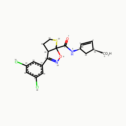 O=C(O)[C@@H]1C=C[C@H](NC(=O)C23ON=C(c4cc(Cl)cc(Cl)c4)C2CCS3)C1